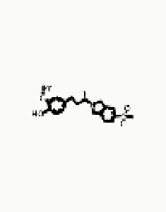 CC(C)Oc1cc(CC[C@@H](C)N2Cc3ccc(S(C)(=O)=O)cc3C2)ccc1O